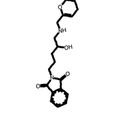 C[C@@H]1CC=C(CNCC(O)CCCN2C(=O)c3ccccc3C2=O)OC1